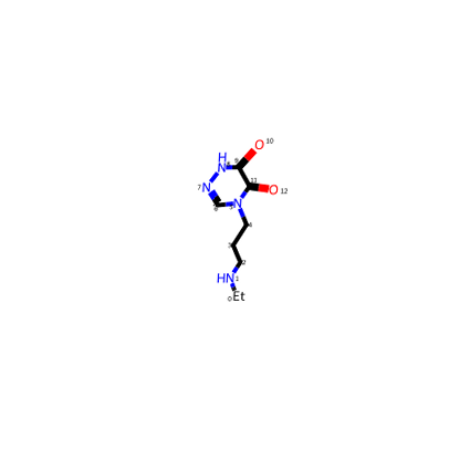 CCNCCCn1[c]n[nH]c(=O)c1=O